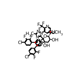 CCc1cnc(C(F)(F)F)c(-n2nc(C)nc2C2(n3cc(-c4ccc(Cl)c(F)c4F)cn3)O[C@@H](CO)[C@@H](O)C[C@@]2(O)n2cc(-c3ccc(Cl)c(F)c3F)cn2)c1